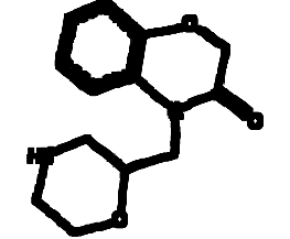 O=C1COc2ccccc2N1CC1CNCCO1